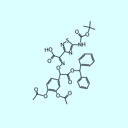 CC(=O)Oc1ccc(C(ON=C(C(=O)O)c2nsc(NC(=O)OC(C)(C)C)n2)C(=O)OC(c2ccccc2)c2ccccc2)cc1OC(C)=O